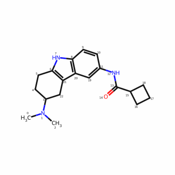 CN(C)C1CCc2[nH]c3ccc(NC(=O)C4CCC4)cc3c2C1